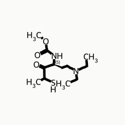 CCN(CC)CC[C@H](NC(=O)OC)C(=O)C(C)S